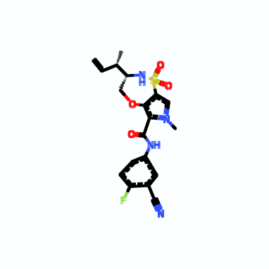 C=C[C@H](C)[C@H]1COc2c(cn(C)c2C(=O)Nc2ccc(F)c(C#N)c2)S(=O)(=O)N1